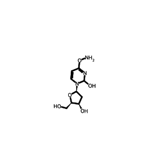 NOC1=NC(O)N([C@H]2C[C@@H](O)[C@@H](CO)O2)C=C1